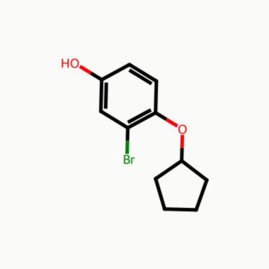 Oc1ccc(OC2CCCC2)c(Br)c1